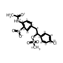 CC(=O)Nc1ccc(CC(OS(C)(=O)=O)c2ccc(Cl)cc2)cc1[N+](=O)[O-]